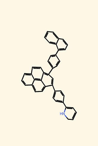 C1=CCNC(c2ccc(-c3cc(-c4ccc(-c5cccc6ccccc56)cc4)c4ccc5cccc6ccc3c4c65)cc2)=C1